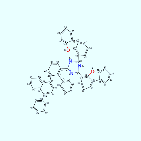 c1ccc(-c2c(-c3nc(-c4cccc5c4oc4ccccc45)nc(-c4cccc5c4oc4ccccc45)n3)cccc2-c2ccc(-c3ccccc3)c3ccccc23)cc1